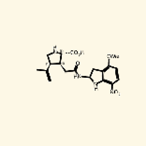 C=C(C)[C@H]1CN[C@H](C(=O)O)[C@H]1CC(=O)NC1Cc2c(OC)ccc([N+](=O)[O-])c2N1